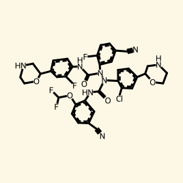 N#Cc1ccc(OC(F)F)c(NC(=O)N(c2ccc(C3CNCCO3)cc2Cl)N(C(=O)Nc2ccc(C3CNCCO3)cc2F)c2cc(C#N)ccc2F)c1